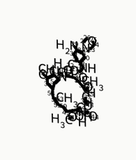 COc1cc2cc(c1Cl)N(C)C(=O)C[C@H](OC(=O)Nc1cc(N3CCOCC3)c(N)cc1C)[C@]1(C)O[C@H]1C[C@@H]1C[C@@](O)(NC(=O)O1)[C@H](OC)/C=C/C=C(\C)C2